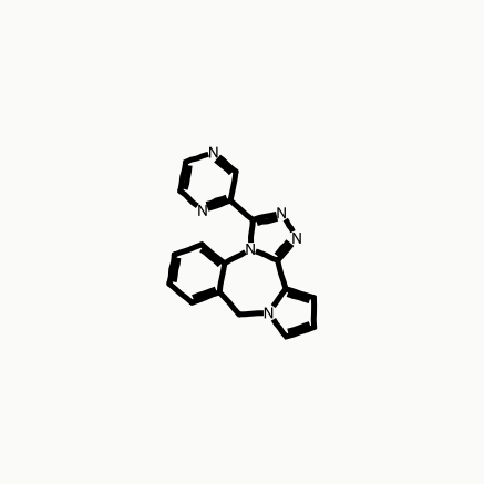 c1ccc2c(c1)Cn1cccc1-c1nnc(-c3cnccn3)n1-2